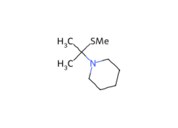 CSC(C)(C)N1CCCCC1